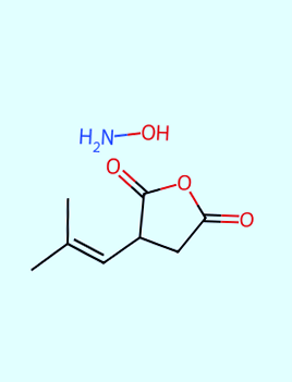 CC(C)=CC1CC(=O)OC1=O.NO